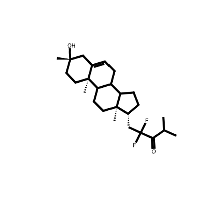 CC(C)C(=O)C(F)(F)C[C@H]1CCC2C3CC=C4C[C@@](C)(O)CC[C@]4(C)C3CC[C@@]21C